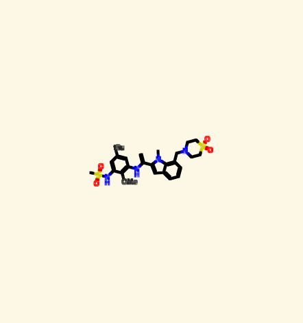 C=C(Nc1cc(C(C)(C)C)cc(NS(C)(=O)=O)c1OC)c1cc2cccc(CN3CCS(=O)(=O)CC3)c2n1C